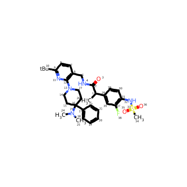 CC(C(=O)NCc1ccc(C(C)(C)C)nc1N1CCC(c2ccccc2)(N(C)C)CC1)c1ccc(NS(C)(=O)=O)c(F)c1